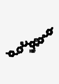 Br.C/C(=C\C(=O)N1CCN(Cc2ccc(C)cc2)CC1)c1cc(C)c(Oc2ccc(OCc3ccc(C)cc3)cn2)c(Cl)c1